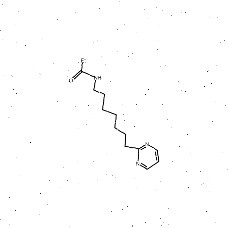 CCC(=O)NCCCCCCCc1ncccn1